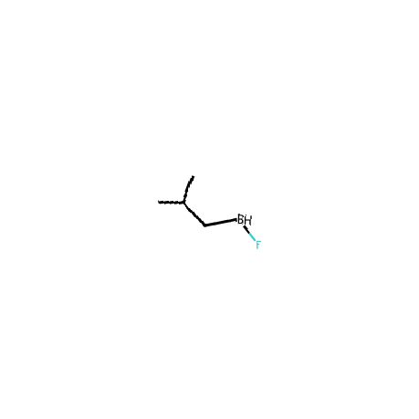 CC(C)CBF